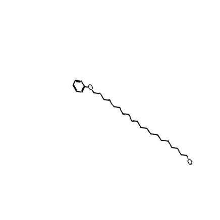 [O]CCCCCCCCCCCCCCCCCCCCOc1ccccc1